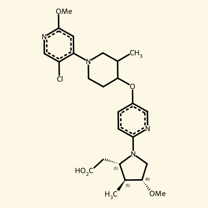 COc1cc(N2CCC(Oc3ccc(N4C[C@H](OC)[C@@H](C)[C@@H]4CC(=O)O)nc3)C(C)C2)c(Cl)cn1